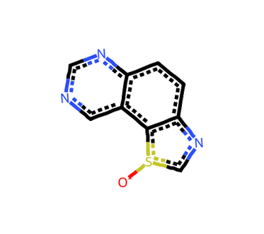 [O-][s+]1cnc2ccc3ncncc3c21